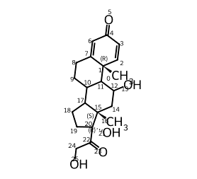 C[C@]12C=CC(=O)C=C1CCC1C2C(O)C[C@@]2(C)C1CC[C@]2(O)C(=O)CO